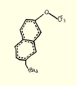 CC(C)(C)c1ccc2ccc(OC(F)(F)F)cc2c1